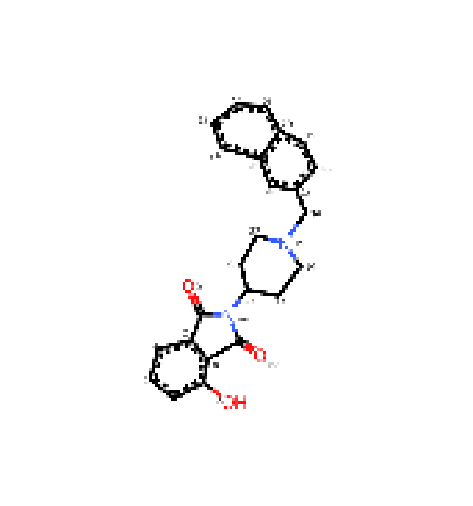 O=C1c2cccc(O)c2C(=O)N1C1CCN(Cc2ccc3ccccc3c2)CC1